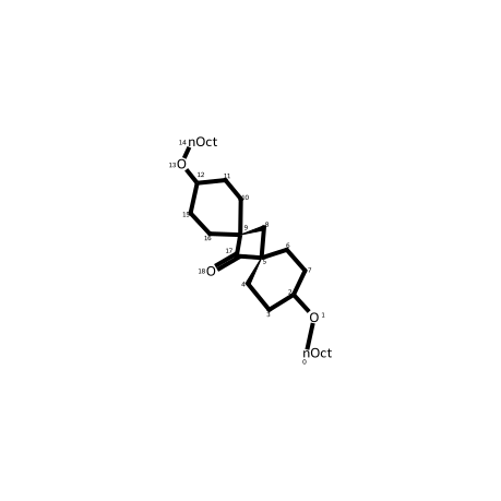 CCCCCCCCOC1CC[C@]2(CC1)C[C@@]1(CCC(OCCCCCCCC)CC1)C2=O